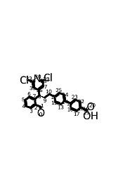 O=Cc1ccccc1[C@H](CCc1ccc(-c2ccc(C(=O)O)cc2)cc1)c1cc(Cl)nc(Cl)c1